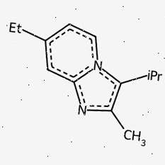 CCc1ccn2c(C(C)C)c(C)nc2c1